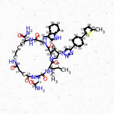 CC[C@H](C)[C@@H]1NC(=O)[C@H](CC(N)=O)NC(=O)CCC(=O)NCCCC[C@@H](C(N)=O)NC(=O)[C@H](Cc2c[nH]c3ccccc23)NC(=O)[C@@H]2C[C@H](n3cc(-c4ccc(-c5ccc(C)s5)cc4)nn3)CN2C1=O